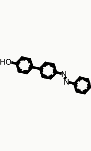 Oc1ccc(-c2ccc(/N=N/c3ccccc3)cc2)cc1